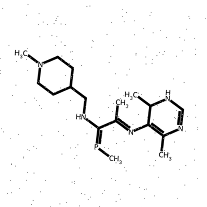 C/P=C(NCC1CCN(C)CC1)\C(C)=N\C1=C(C)N=CNC1C